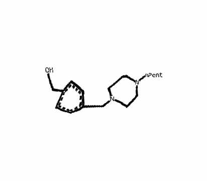 CCCCCN1CCN(Cc2ccc(CO)cc2)CC1